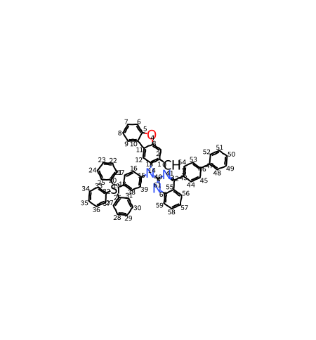 Cc1cc2oc3ccccc3c2cc1N(c1ccc([Si](c2ccccc2)(c2ccccc2)c2ccccc2)cc1)c1nc(-c2ccc(-c3ccccc3)cc2)c2ccccc2n1